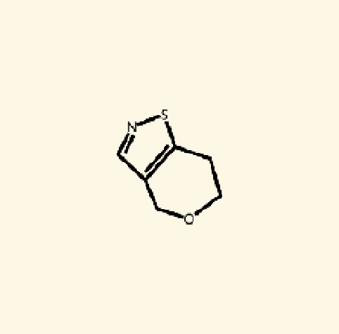 c1nsc2c1COCC2